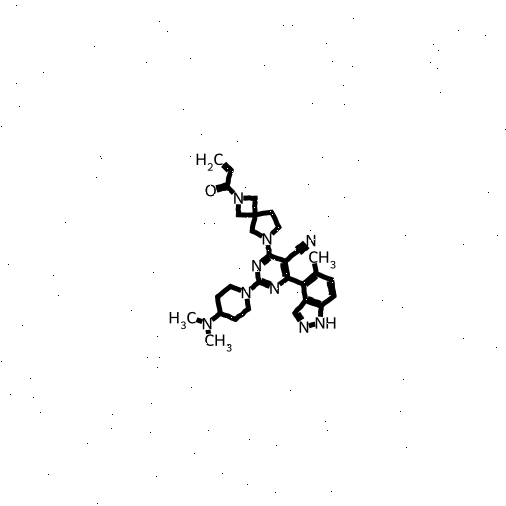 C=CC(=O)N1CC2(CCN(c3nc(N4CCC(N(C)C)CC4)nc(-c4c(C)ccc5[nH]ncc45)c3C#N)C2)C1